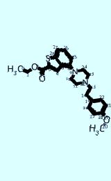 CCOC(=O)c1cc2c(N3CCN(CCc4ccc(OC)cc4)CC3)cccc2s1